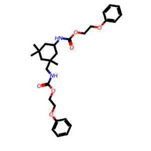 CC1(C)CC(NC(=O)OCCOc2ccccc2)CC(C)(CNC(=O)OCCOc2ccccc2)C1